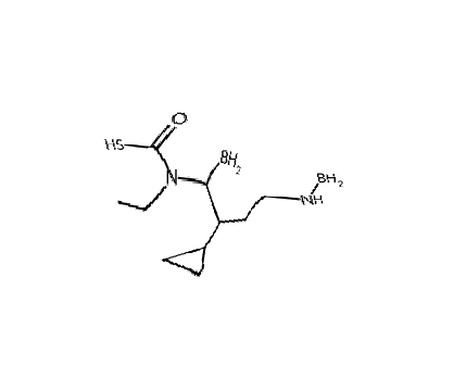 BNCCC(C1CC1)C(B)N(CC)C(=O)S